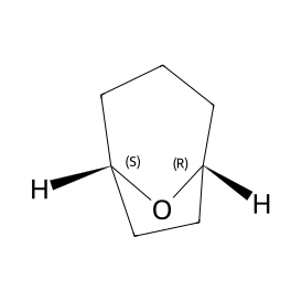 C1C[C@@H]2CC[C@H](C1)O2